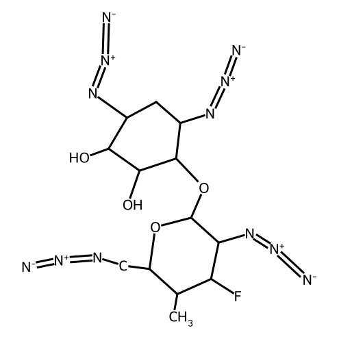 CC1C(CN=[N+]=[N-])OC(OC2C(N=[N+]=[N-])CC(N=[N+]=[N-])C(O)C2O)C(N=[N+]=[N-])C1F